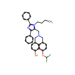 CCCCn1c(-c2ccccc2)nc(-c2ccccc2)c1CN(Cc1ccc(S)cc1)Cc1ccc(OC(F)F)cc1